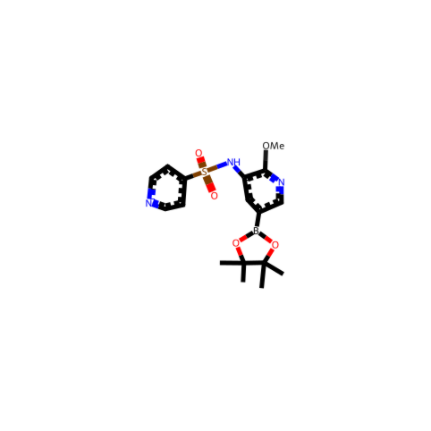 COc1ncc(B2OC(C)(C)C(C)(C)O2)cc1NS(=O)(=O)c1ccncc1